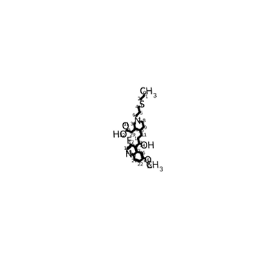 CCCSCCCN1CCC(CCC(O)c2c(F)cnc3ccc(OC)cc23)C(CC(=O)O)C1